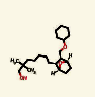 CC(C)(CO)CC/C=C\C[C@H]1[C@@H](COC2CCCCC2)[C@H]2CC[C@@H]1O2